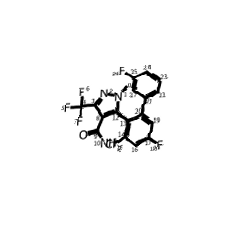 Cn1nc(C(F)(F)F)c(C(N)=O)c1-c1c(Cl)cc(F)cc1-c1cccc(F)c1